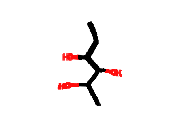 [CH2]C(O)C(O)C(O)CC